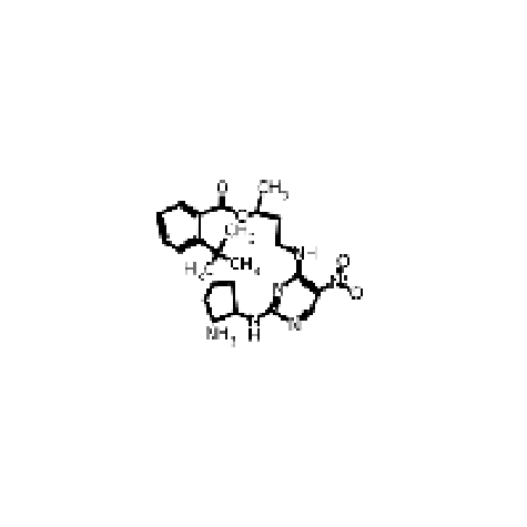 CC(CCNc1nc(NC2CCCC2)ncc1[N+](=O)[O-])OC(=O)c1ccccc1C(C)(C)C.N